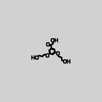 O=C(CO)c1cc(OCCCO)cc(OCCCO)c1